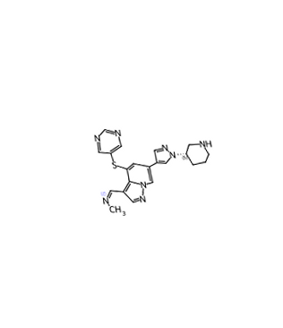 C/N=C\c1cnn2cc(-c3cnn([C@H]4CCCNC4)c3)cc(Sc3cncnc3)c12